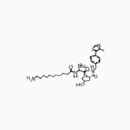 Cc1ncsc1-c1ccc(CNC(=O)C2C[C@@H](O)CN2C(=O)C(NC(=O)CCCCCCCCCCN)C(C)(C)C)cc1